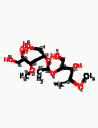 CO[C@H](C)[C@@H](O)C(CO)OC(C)O[C@H](CO)[C@@H](OC)C(O)CO